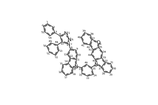 c1ccc(-c2nnn(-c3ccc4c(c3)c3ccccc3n4-c3cccc(-n4c5ccccc5c5cc6oc7ccccc7c6cc54)c3)c2-c2ccccc2)cc1